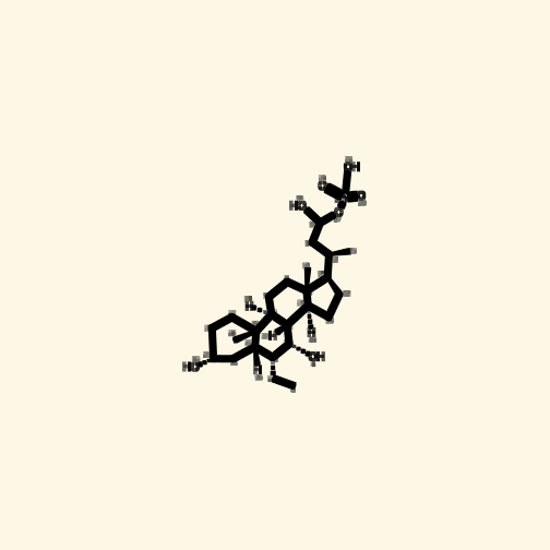 CC[C@H]1[C@@H](O)[C@@H]2[C@H](CC[C@]3(C)[C@@H]([C@H](C)CC(O)OS(=O)(=O)O)CC[C@@H]23)[C@@]2(C)CC[C@@H](O)C[C@@H]12